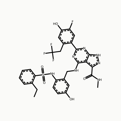 CCc1ccccc1S(=O)(=O)Nc1ccc(O)cc1CNc1nc(-c2cc(F)c(O)cc2CC(F)(F)F)nc2[nH]nc(C(=O)NC)c12